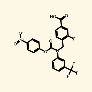 O=C(O)c1ccc(CN(C(=O)Oc2ccc([N+](=O)[O-])cc2)c2cccc(C(F)(F)F)c2)c(F)c1